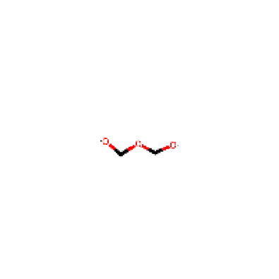 [O]COC[O]